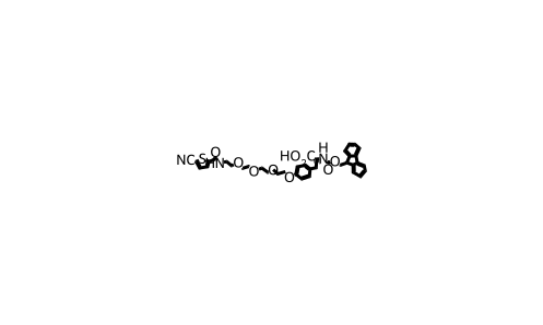 N#Cc1ccc(C(=O)NCCOCCOCCOCCOc2ccc(C[C@H](NC(=O)OCC3c4ccccc4-c4ccccc43)C(=O)O)cc2)s1